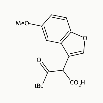 COc1ccc2occ(C(C(=O)O)C(=O)C(C)(C)C)c2c1